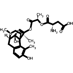 Cc1c(O)ccc2c1[C@]13CCN(C)[C@H](C2)[C@]1(O)CC=C(OC(=O)[C@H](C)OC(=O)[C@@H](N)CC(=O)O)[C@@H]3C